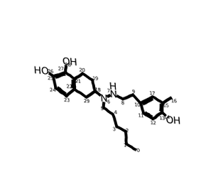 CCCCCCN(NCCc1ccc(O)c(C)c1)C1CCc2c(ccc(O)c2O)C1